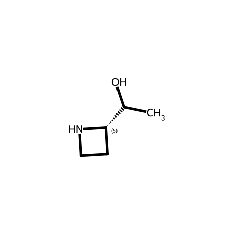 CC(O)[C@@H]1CCN1